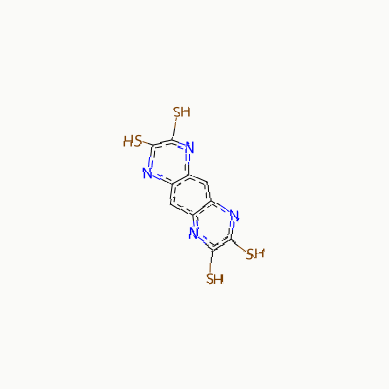 Sc1nc2cc3nc(S)c(S)nc3cc2nc1S